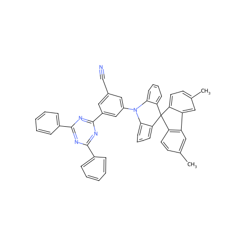 Cc1ccc2c(c1)-c1cc(C)ccc1C21c2ccccc2N(c2cc(C#N)cc(-c3nc(-c4ccccc4)nc(-c4ccccc4)n3)c2)c2ccccc21